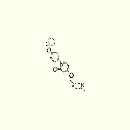 Cc1ccc(COc2ccn(-c3ccc(OC4CCCCO4)cc3)c(=O)c2)cn1